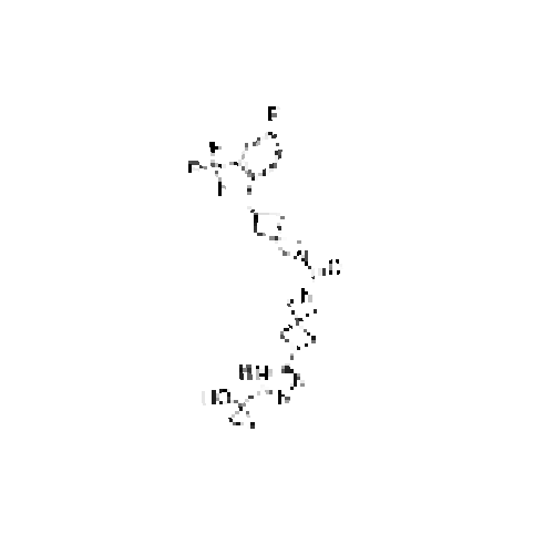 O=C(N1CC2(CC(Cc3ccc(F)cc3C(F)(F)F)C2)C1)N1CC2(CC(c3nnc(C4(O)CC4)[nH]3)C2)C1